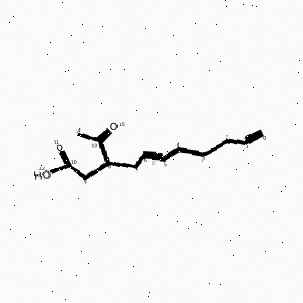 C=CCCC/C=C/CC(CC(=O)O)C(C)=O